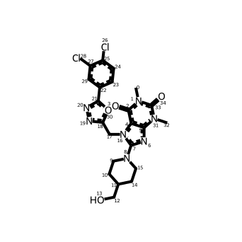 Cn1c(=O)c2c(nc(N3CCC(CO)CC3)n2Cc2nnc(-c3ccc(Cl)c(Cl)c3)o2)n(C)c1=O